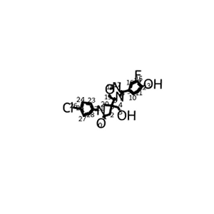 O=C1CC(CO)(C2=NC(c3ccc(O)c(F)c3)=NOC2)CN1c1ccc(Cl)cc1